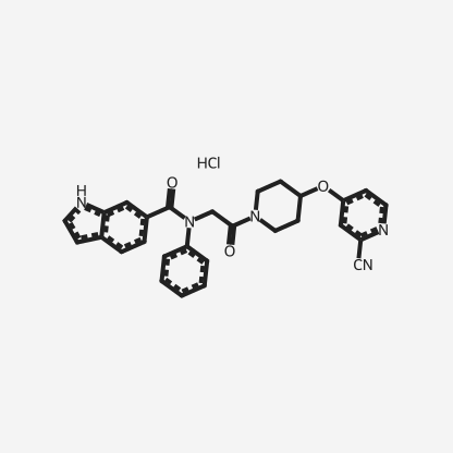 Cl.N#Cc1cc(OC2CCN(C(=O)CN(C(=O)c3ccc4cc[nH]c4c3)c3ccccc3)CC2)ccn1